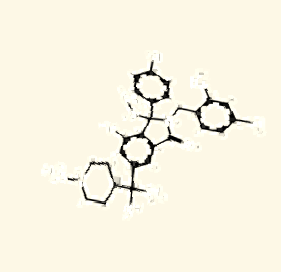 COC1(c2ccc(Cl)cc2)c2c(F)cc(C(C)(O)C3CCN(C)CC3)cc2C(=O)N1Cc1ccc(Cl)cc1Br